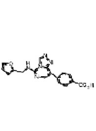 O=C(O)c1ccc(-c2cnc(NCc3ccco3)n3cnnc23)cc1